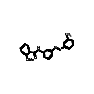 COc1ccccc1C(=O)Nc1cccc(/N=N/c2cccc(C)c2)c1